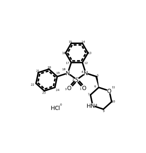 Cl.O=S1(=O)N(C[C@@H]2CNCCO2)c2ccccc2N1c1ccccc1